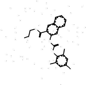 Cc1cc(C)c(NC(=O)Nc2cc3ccccc3cc2C(=O)N[C@H](CC(=O)O)C(C)C)c(C)c1